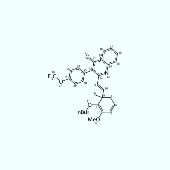 CCCCOC1=C(OC)C=CCC1(C)/C=C/c1nc2ccccn2c(=O)c1-c1ccc(OC(F)(F)F)cc1